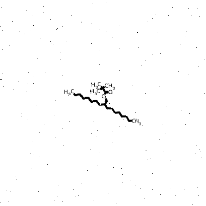 CCCCCCCCC(CCCCCCCC)COC(=O)C(C)(C)C